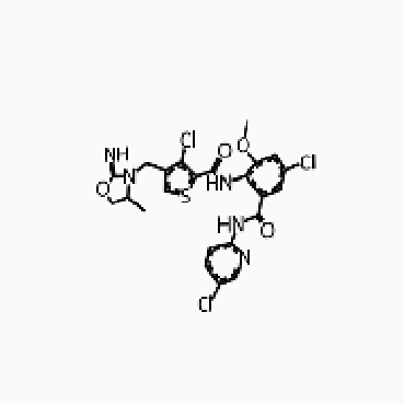 COc1cc(Cl)cc(C(=O)Nc2ccc(Cl)cn2)c1NC(=O)c1scc(CN2C(=N)OCC2C)c1Cl